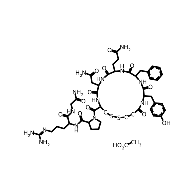 CC(=O)O.NC(=O)CCC1NC(=O)C(Cc2ccccc2)NC(=O)C(Cc2ccc(O)cc2)NC(=O)CCSSCC(C(=O)N2CCCC2C(=O)NC(CCCN=C(N)N)C(=O)NCC(N)=O)NC(=O)C(CC(N)=O)NC1=O